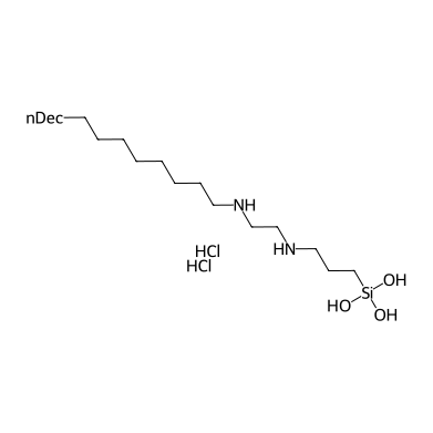 CCCCCCCCCCCCCCCCCCNCCNCCC[Si](O)(O)O.Cl.Cl